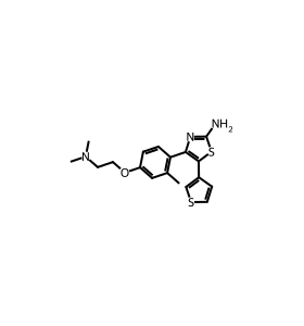 Cc1cc(OCCN(C)C)ccc1-c1nc(N)sc1-c1ccsc1